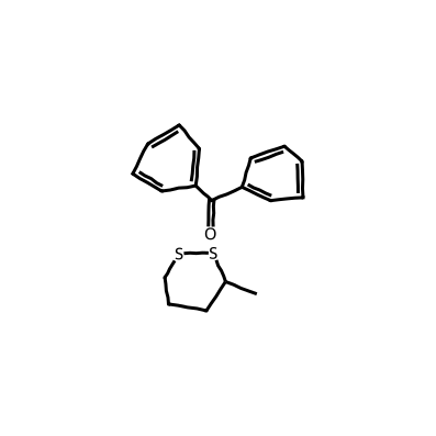 CC1CCCSS1.O=C(c1ccccc1)c1ccccc1